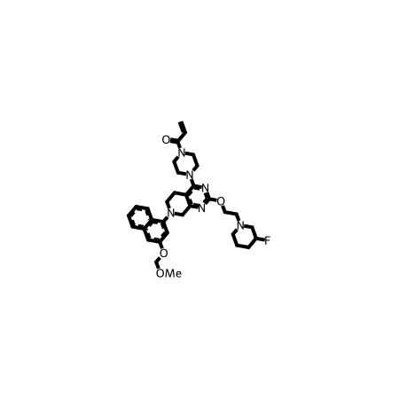 C=CC(=O)N1CCN(c2nc(OCCN3CCCC(F)C3)nc3c2CCN(c2cc(OCOC)cc4ccccc24)C3)CC1